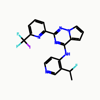 CC(F)c1cnccc1Nc1nc(-c2cccc(C(F)(F)I)n2)nn2cccc12